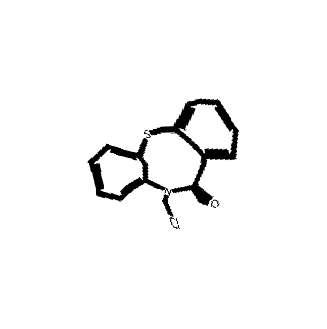 O=C1c2ccccc2Sc2ccccc2N1Cl